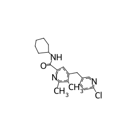 Cc1nc(C(=O)NC2CCCCC2)cc(Cc2ccc(Cl)nc2)c1C